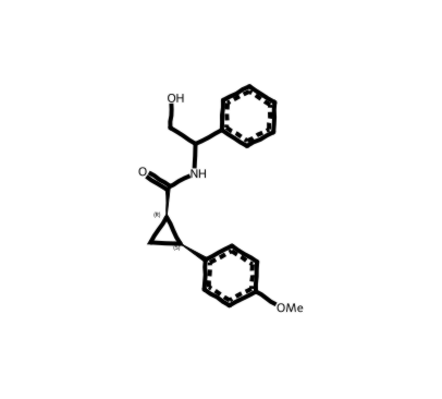 COc1ccc([C@H]2C[C@H]2C(=O)NC(CO)c2ccccc2)cc1